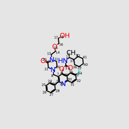 C[C@H](NC(=O)Oc1c(CN2CCN(CCOCCO)C(=O)C2)c(-c2ccccc2)nc2ccc(F)cc12)C1CCCCC1